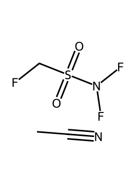 CC#N.O=S(=O)(CF)N(F)F